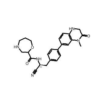 CN1C(=O)CNc2ccc(-c3ccc(C[C@@H](C#N)NC(=O)C4CNCCCO4)cc3)cc21